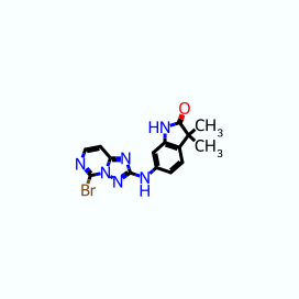 CC1(C)C(=O)Nc2cc(Nc3nc4ccnc(Br)n4n3)ccc21